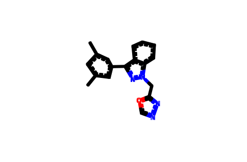 Cc1cc(C)cc(-c2nn(Cc3nnco3)c3ccccc23)c1